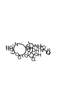 CCC1OC(=O)C(C)C(OC2C[C@@](C)(OC)C(O)C(C)O2)C[C@@H](OC2OC(C)CC(NC[C@@H]3N=C(c4cccn4C)O[C@@H]3C)[C@H]2O)[C@@](C)(O)C[C@@H](C)CN(C)[C@H](C)[C@@H](O)[C@@]1(C)O